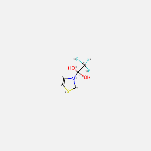 OC(O)(N1C=CSC1)C(F)(F)F